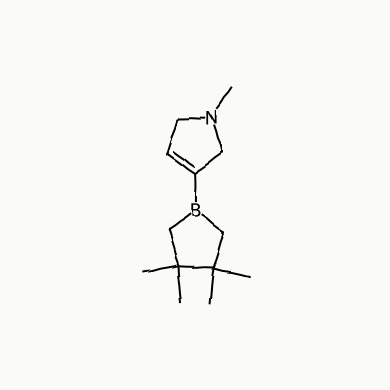 CN1CC=C(B2CC(C)(C)C(C)(C)C2)C1